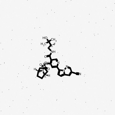 CC(C)(O)[C@H](F)CNC(=O)c1cnc(-c2ccc3cc(C#N)cnn23)cc1N[C@H]1C[C@H]2CC[C@@H](C1)N2S(C)(=O)=O